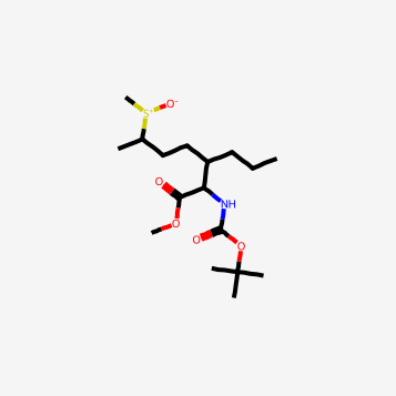 CCCC(CCC(C)[S+](C)[O-])C(NC(=O)OC(C)(C)C)C(=O)OC